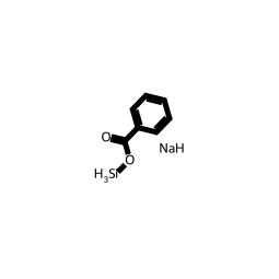 O=C(O[SiH3])c1ccccc1.[NaH]